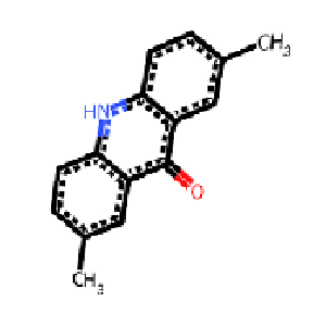 Cc1ccc2[nH]c3ccc(C)cc3c(=O)c2c1